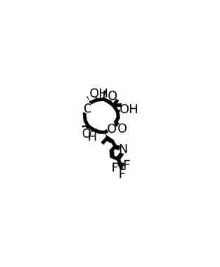 C/C(=C\c1ccc(C(F)(F)F)cn1)[C@@H]1C[C@@H]2O[C@]2(C)CCC[C@H](C)[C@H](O)[C@@H](C)C(=O)C(C)(C)[C@@H](O)CC(=O)O1